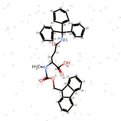 CN(C(=O)OCC1c2ccccc2-c2ccccc21)C(CCC(=O)NC(c1ccccc1)(c1ccccc1)c1ccccc1)C(=O)O